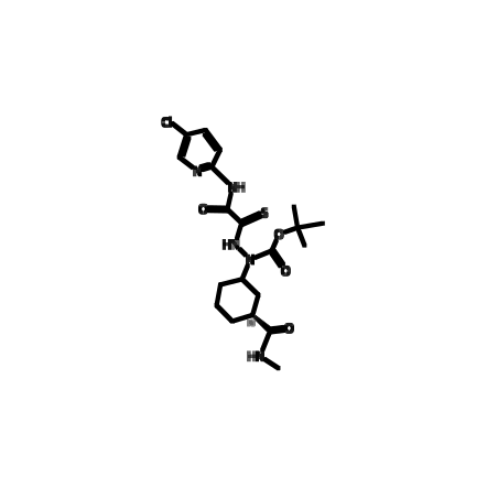 CNC(=O)[C@H]1CCCC(N(NC(=S)C(=O)Nc2ccc(Cl)cn2)C(=O)OC(C)(C)C)C1